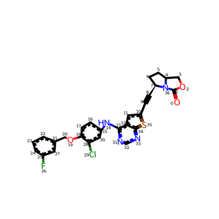 O=C1OCC2CC[C@H](C#Cc3cc4c(Nc5ccc(OCc6cccc(F)c6)c(Cl)c5)ncnc4s3)N12